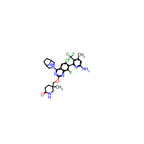 Cc1cc(N)nc(-c2c(Cl)cc3c(N4CC5CCC(C4)N5)nc(OCC4(C)CCC(=O)NC4)nc3c2F)c1C(F)(F)F